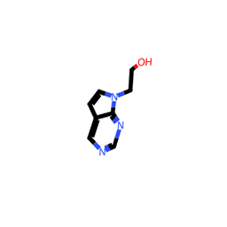 OCCn1ccc2cncnc21